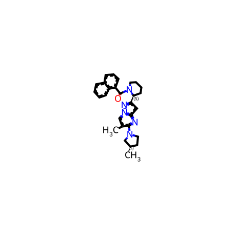 Cc1cn2nc([C@@H]3CCCCN3C(=O)c3cccc4ccccc34)cc2nc1N1CC[C@H](C)C1